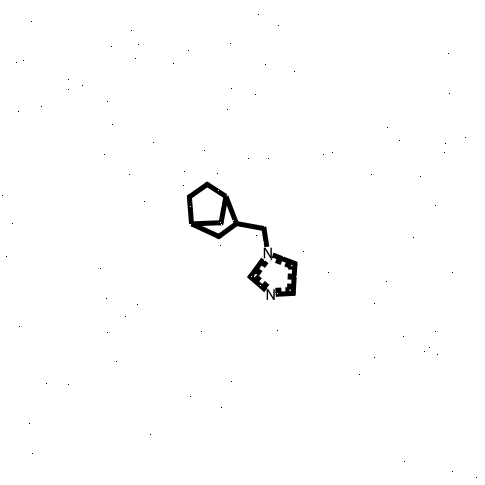 c1cn(CC2CC3CCC2C3)cn1